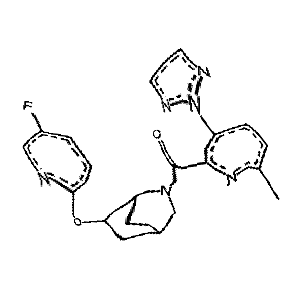 Cc1ccc(-n2nccn2)c(C(=O)N2CC3CC(Oc4ccc(F)cn4)C2C3)n1